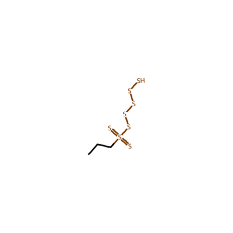 CCCS(=S)(=S)SSSSS